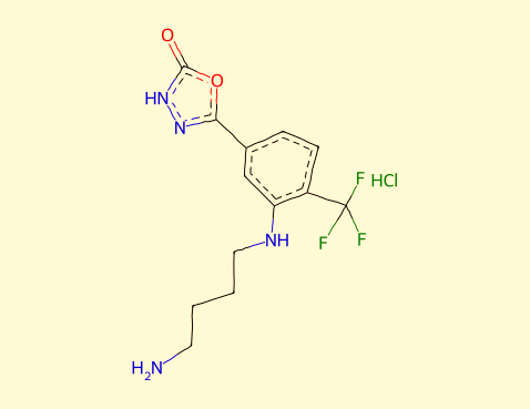 Cl.NCCCCNc1cc(-c2n[nH]c(=O)o2)ccc1C(F)(F)F